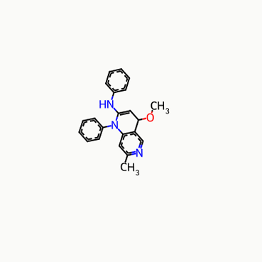 COC1C=C(Nc2ccccc2)N(c2ccccc2)c2cc(C)ncc21